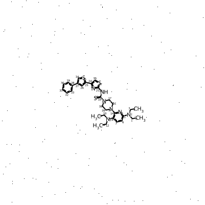 CCN(CC)c1ccc(N(CC)CC)c(N2CCN(C(=S)Nc3nc(-c4cc(-c5ccccc5)cs4)cs3)CC2)n1